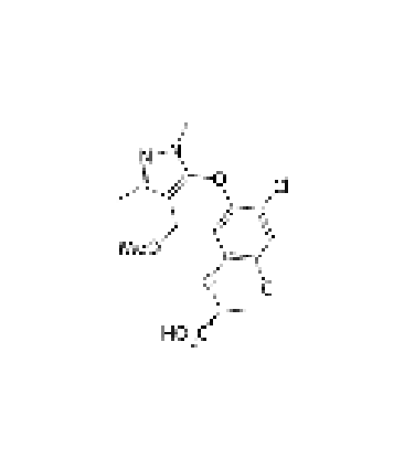 COCc1c(C)nn(C)c1Oc1cc(O[C@@H](C)C(=O)O)c(Cl)cc1Cl